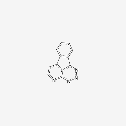 c1ccc2c(c1)-c1ccnc3nnnc-2c13